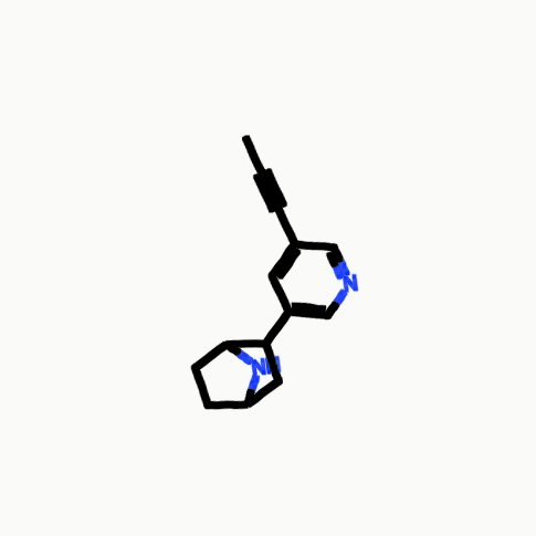 CC#Cc1cncc(C2CC3CCC2N3)c1